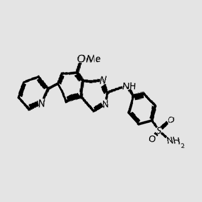 COc1cc(-c2ccccn2)cc2cnc(Nc3ccc(S(N)(=O)=O)cc3)nc12